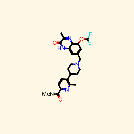 CNC(=O)c1ccc(C2=CCN(Cc3cc(OC(F)F)c4nc(C)c(=O)[nH]c4c3)CC2)c(C)n1